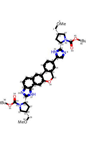 COC[C@H]1C[C@@H](c2ncc(-c3ccc4c(c3)COc3cc5c(ccc6nc([C@@H]7C[C@H](COC)CN7C(=O)OC(C)(C)C)[nH]c65)cc3-4)[nH]2)N(C(=O)OC(C)(C)C)C1